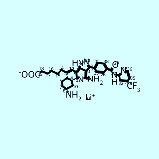 Nc1nc([C@@H]2CCC[C@@H](N)C2)c(/C=C/CCCCCC(=O)[O-])c2[nH]nc(-c3ccc(C(=O)Nc4cc(C(F)(F)F)ccn4)cc3)c12.[Li+]